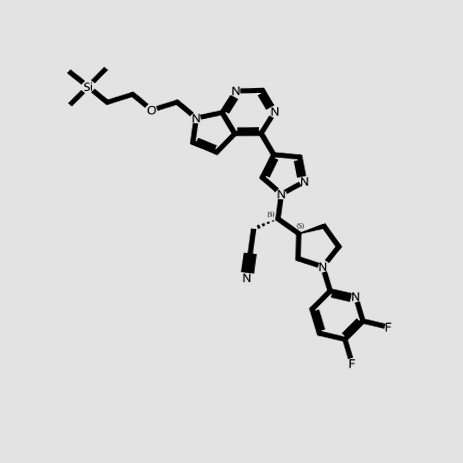 C[Si](C)(C)CCOCn1ccc2c(-c3cnn([C@@H](CC#N)[C@H]4CCN(c5ccc(F)c(F)n5)C4)c3)ncnc21